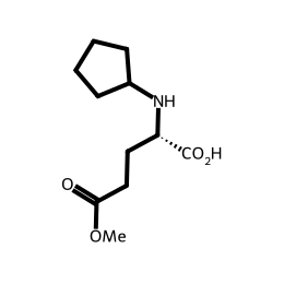 COC(=O)CC[C@H](NC1CCCC1)C(=O)O